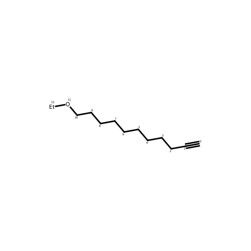 C#CCCCCCCCCCOCC